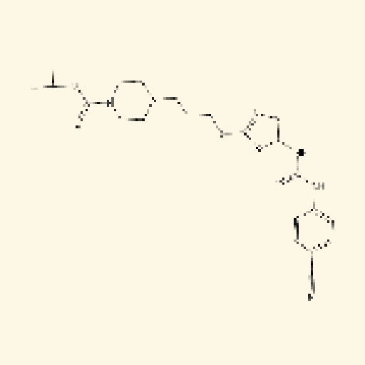 CC(C)(C)OC(=O)N1CCN(CCCSc2nnc(NC(=O)Nc3ccc(C#N)cc3)s2)CC1